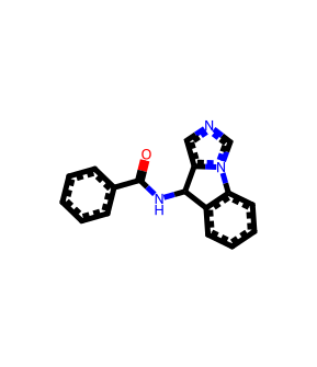 O=C(NC1c2ccccc2-n2cncc21)c1ccccc1